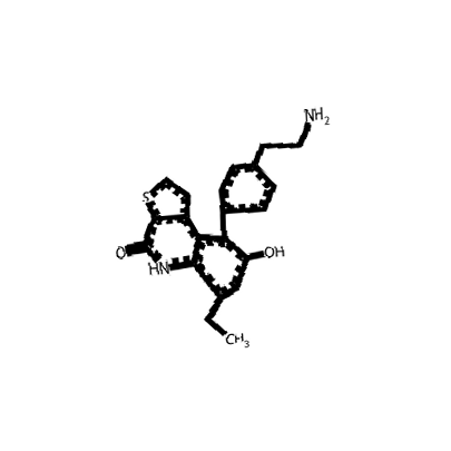 CCc1cc(O)c(-c2ccc(CCN)cc2)c2c1[nH]c(=O)c1sccc12